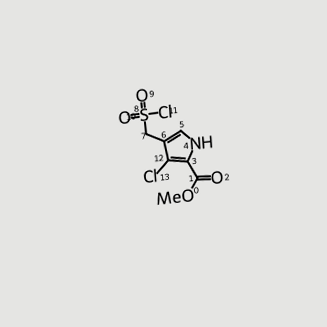 COC(=O)c1[nH]cc(CS(=O)(=O)Cl)c1Cl